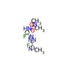 Cc1cnc(F)c(-c2cnc3nc(-c4cc(NC(=O)c5oc(C)nc5C)ccc4F)cn3c2)c1